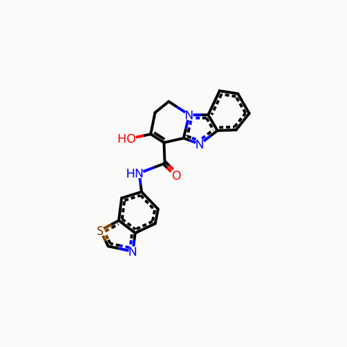 O=C(Nc1ccc2ncsc2c1)C1=C(O)CCn2c1nc1ccccc12